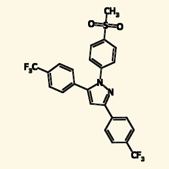 CS(=O)(=O)c1ccc(-n2nc(-c3ccc(C(F)(F)F)cc3)cc2-c2ccc(C(F)(F)F)cc2)cc1